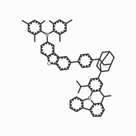 Cc1cc(C)c(B(c2ccc3oc4ccc(-c5ccc(C67CC8CC(C6)CC(c6cc(C(C)C)c9c(c6)C(C)c6cccc%10c6B9c6ccccc6-%10)(C8)C7)cc5)cc4c3c2)c2c(C)cc(C)cc2C)c(C)c1